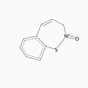 O=[N+]1CC=Cc2ccccc2S1